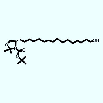 CC(C)(C)OC(=O)N1[C@@H](CCCCCCCCCCCCCCCCO)COC1(C)C